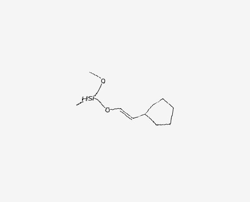 CO[SiH](C)OC=CC1CCCCC1